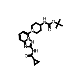 CC(C)(C)OC(=O)NC1CCN(c2cccc3nc(NC(=O)C4CC4)nn23)CC1